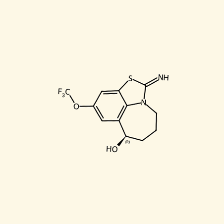 N=c1sc2cc(OC(F)(F)F)cc3c2n1CCC[C@H]3O